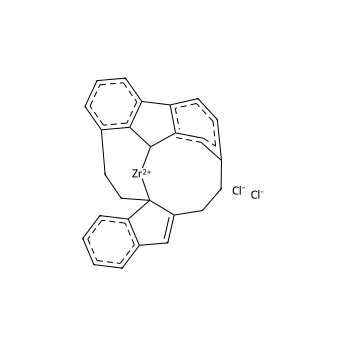 C1=C2CCc3ccc4c(c3)[CH]3[Zr+2][C]2(CCc2cccc-4c23)c2ccccc21.[Cl-].[Cl-]